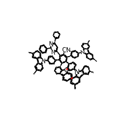 Cc1ccc2c(c1)c1cc(C)ccc1n2-c1ccc(-c2c(C#N)c(-c3cc(-c4ccccc4)nc(-c4ccccc4)n3)c(-c3ccc(-n4c5ccc(C)cc5c5cc(C)ccc54)cc3)c(-c3cccc4c3oc3ccccc34)c2-c2ccc(-n3c4ccc(C)cc4c4cc(C)ccc43)cc2)cc1